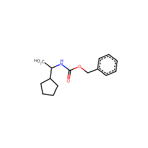 O=C(NC(C(=O)O)C1CCCC1)OCc1ccccc1